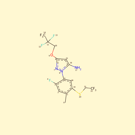 Cc1cc(F)c(-n2nc(OCC(F)(F)C(F)(F)F)cc2N)cc1SCC(F)(F)F